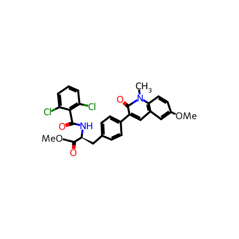 COC(=O)[C@H](Cc1ccc(-c2cc3cc(OC)ccc3n(C)c2=O)cc1)NC(=O)c1c(Cl)cccc1Cl